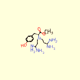 COC(=O)[C@H](Cc1ccc(O)cc1)N(CCC(N)N)CCC(N)N